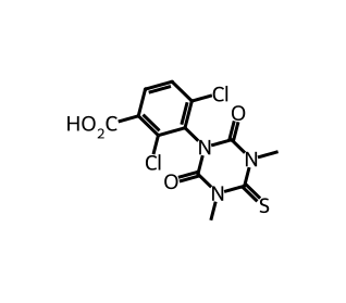 Cn1c(=S)n(C)c(=O)n(-c2c(Cl)ccc(C(=O)O)c2Cl)c1=O